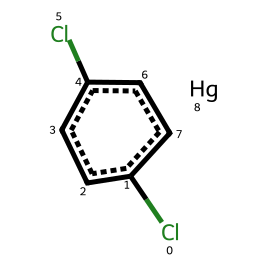 Clc1ccc(Cl)cc1.[Hg]